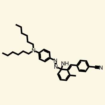 CCCCCCN(CCCCCC)c1ccc(N=NC2(N)C=CC=C(C)C2=Cc2ccc(C#N)cc2)cc1